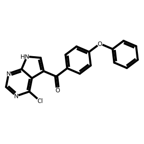 O=C(c1ccc(Oc2ccccc2)cc1)c1c[nH]c2ncnc(Cl)c12